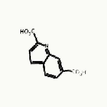 O=C(O)c1ccc2ccc(C(=O)O)nc2c1